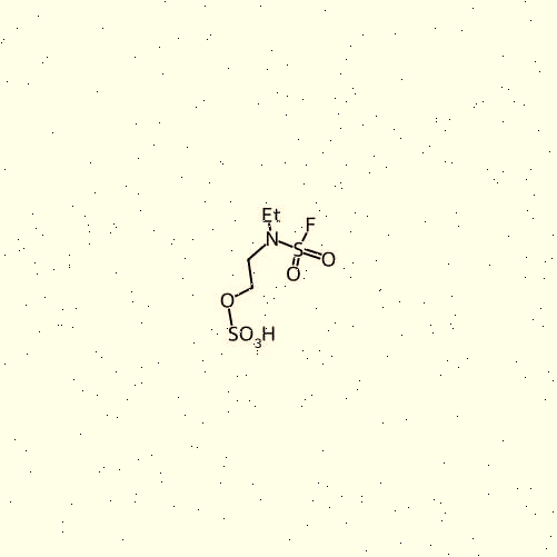 CCN(CCOS(=O)(=O)O)S(=O)(=O)F